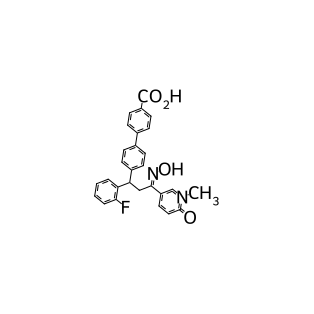 Cn1cc(C(CC(c2ccc(-c3ccc(C(=O)O)cc3)cc2)c2ccccc2F)=NO)ccc1=O